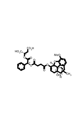 COc1ccc2c3c1O[C@@H]1C(OC(=O)CCC(=O)O[C@H](C(=O)O[C@@H](CC(=O)O)C(=O)O)c4ccccc4)=CC[C@]4(O)[C@H](C2)N(C)CC[C@@]314